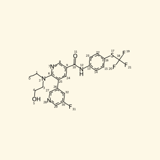 CCN(CCO)c1ncc(C(=O)Nc2ccc(SC(F)(F)F)cc2)cc1-c1cncc(F)c1